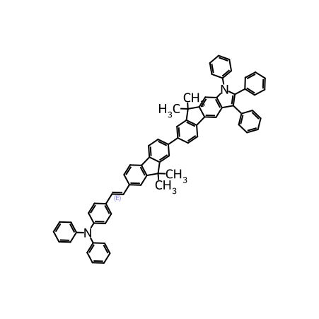 CC1(C)c2cc(/C=C/c3ccc(N(c4ccccc4)c4ccccc4)cc3)ccc2-c2ccc(-c3ccc4c(c3)C(C)(C)c3cc5c(cc3-4)c(-c3ccccc3)c(-c3ccccc3)n5-c3ccccc3)cc21